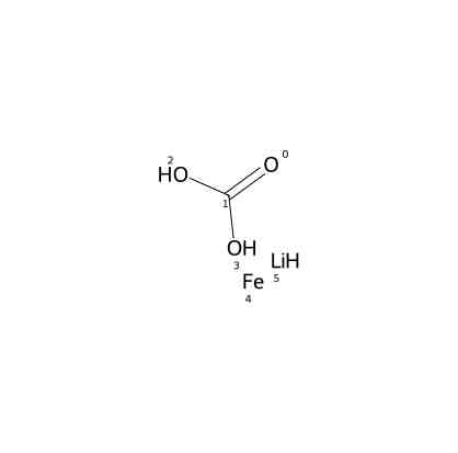 O=C(O)O.[Fe].[LiH]